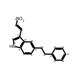 O=[N+]([O-])C=Cc1c[nH]c2ccc(CCc3ccccc3)cc12